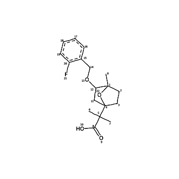 CC12CCC(C(C)(C)C(=O)O)(CC1OCc1ccccc1F)O2